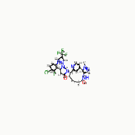 C[C@@H]1CCC[C@H](n2cnc(-c3c(-n4cc(C(F)(F)F)cn4)ccc(Cl)c3F)cc2=O)c2cc(ccn2)-c2c(cnn2C)NC1=O